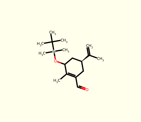 C=C(C)[C@H]1CC(C=O)=C(C)C(O[Si](C)(C)C(C)(C)C)C1